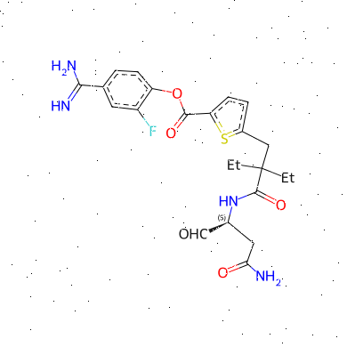 CCC(CC)(Cc1ccc(C(=O)Oc2ccc(C(=N)N)cc2F)s1)C(=O)N[C@H](C=O)CC(N)=O